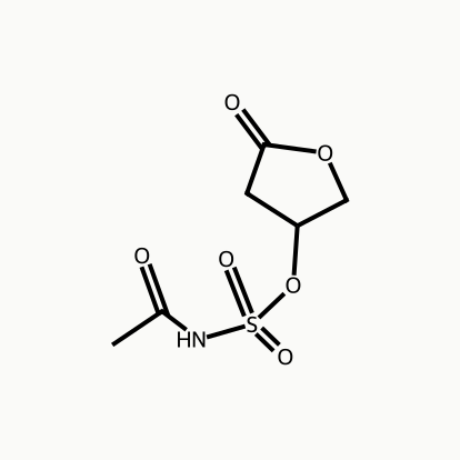 CC(=O)NS(=O)(=O)OC1COC(=O)C1